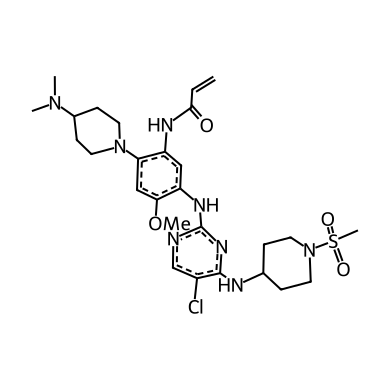 C=CC(=O)Nc1cc(Nc2ncc(Cl)c(NC3CCN(S(C)(=O)=O)CC3)n2)c(OC)cc1N1CCC(N(C)C)CC1